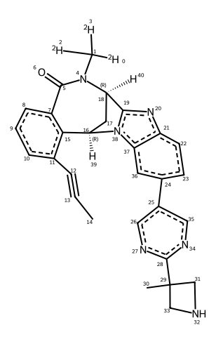 [2H]C([2H])([2H])N1C(=O)c2cccc(C#CC)c2[C@H]2C[C@@H]1c1nc3ccc(-c4cnc(C5(C)CNC5)nc4)cc3n12